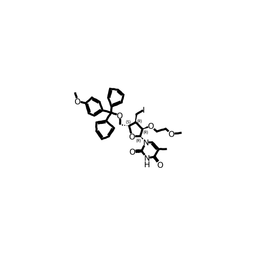 COCCO[C@@H]1[C@H](CI)[C@@H](COC(c2ccccc2)(c2ccccc2)c2ccc(OC)cc2)O[C@H]1n1cc(C)c(=O)[nH]c1=O